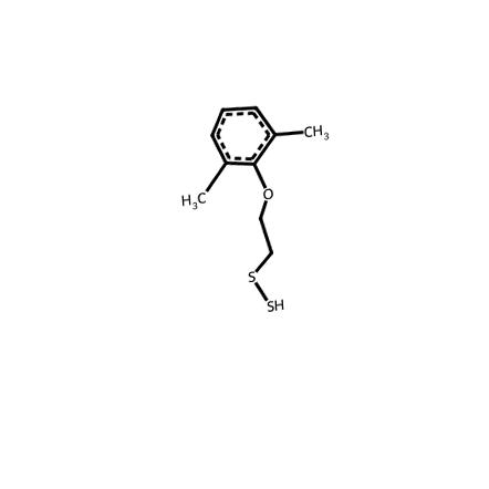 Cc1cccc(C)c1OCCSS